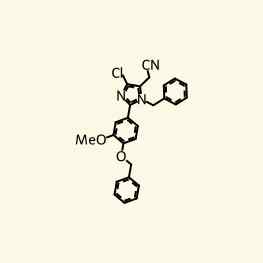 COc1cc(-c2nc(Cl)c(CC#N)n2Cc2ccccc2)ccc1OCc1ccccc1